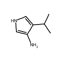 CC(C)c1c[nH]cc1N